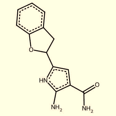 NC(=O)c1cc(C2Cc3ccccc3O2)[nH]c1N